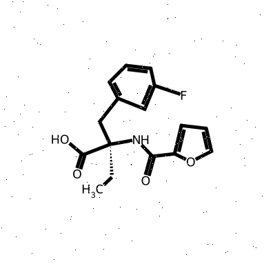 CC[C@](Cc1cccc(F)c1)(NC(=O)c1ccco1)C(=O)O